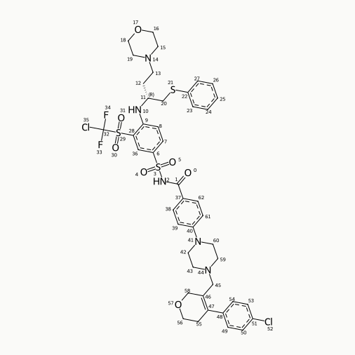 O=C(NS(=O)(=O)c1ccc(N[C@H](CCN2CCOCC2)CSc2ccccc2)c(S(=O)(=O)C(F)(F)Cl)c1)c1ccc(N2CCN(CC3=C(c4ccc(Cl)cc4)CCOC3)CC2)cc1